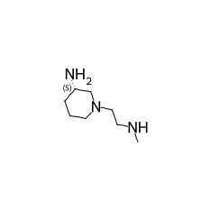 CNCCN1CCC[C@H](N)C1